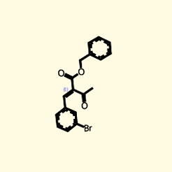 CC(=O)/C(=C\c1cccc(Br)c1)C(=O)OCc1ccccc1